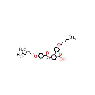 CCCCCCOc1ccc(-c2cc(OC(=O)c3ccc(OCCC[C@@H](C)CC)cc3)ccc2C(=O)O)cc1